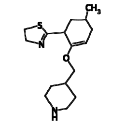 CC1CC=C(OCC2CCNCC2)C(C2=NCCS2)C1